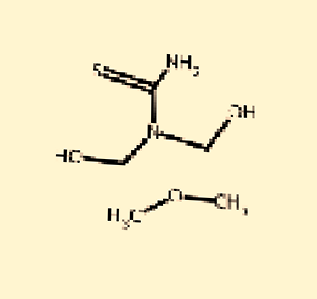 COC.NC(=S)N(CO)CO